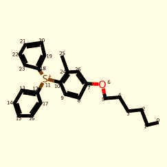 CCCCCCOc1ccc([S+](c2ccccc2)c2ccccc2)c(C)c1